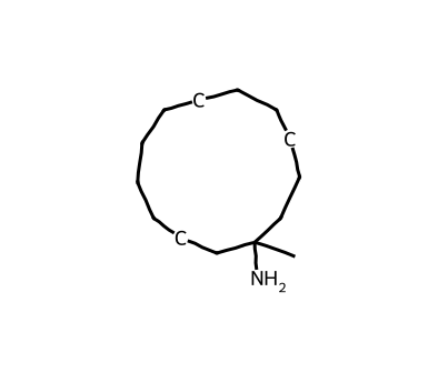 CC1(N)CCCCCCCCCCCC1